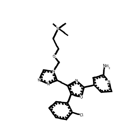 C[Si](C)(C)CCOCn1cnnc1-c1nc(-c2ccnc(N)c2)oc1-c1ccccc1Cl